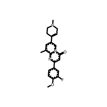 COc1ccc(-c2cc(=O)n3cc(C4=CCN(C)CC4)cc(C)c3n2)cc1F